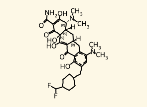 CN(C)c1cc(CC2CCC(C(F)F)CC2)c(O)c2c1C[C@H]1C[C@H]3[C@@H](N(C)C)C(O)=C(C(N)=O)C(=O)[C@@]3(O)C(O)=C1C2=O